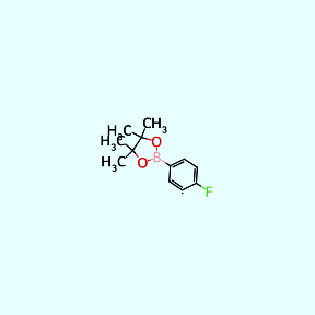 CC1(C)OB(c2c[c]c(F)cc2)OC1(C)C